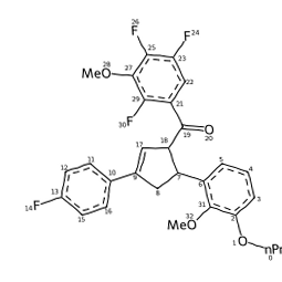 CCCOc1cccc(C2CC(c3ccc(F)cc3)=CC2C(=O)c2cc(F)c(F)c(OC)c2F)c1OC